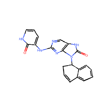 O=c1[nH]cccc1Nc1ncc2[nH]c(=O)n(C3CC=Cc4ccccc43)c2n1